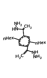 C=C(NN)c1cc(CCCCCC)c(C(=C)NN)cc1CCCCCC